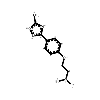 CCN(CC)CCOc1ccc(-c2noc(C)n2)cc1